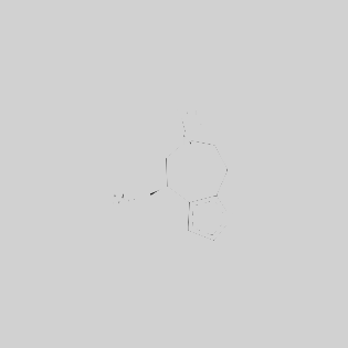 CO[C@H]1CN(C(=O)O)CCc2sccc21